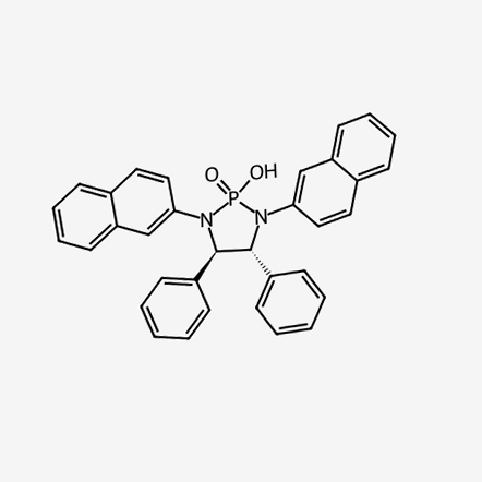 O=P1(O)N(c2ccc3ccccc3c2)[C@H](c2ccccc2)[C@@H](c2ccccc2)N1c1ccc2ccccc2c1